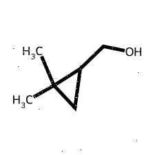 CC1(C)C[C]1CO